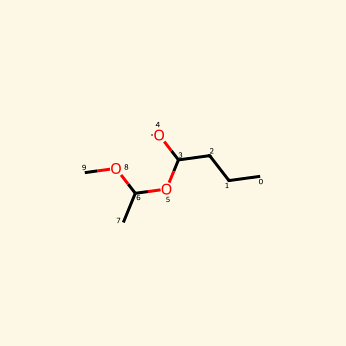 CCCC([O])OC(C)OC